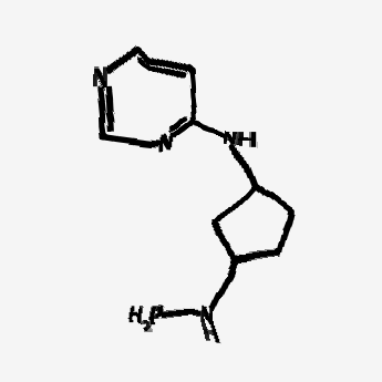 PNC1CCC(Nc2ccncn2)C1